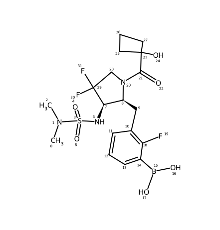 CN(C)S(=O)(=O)N[C@@H]1[C@H](Cc2cccc(B(O)O)c2F)N(C(=O)C2(O)CCC2)CC1(F)F